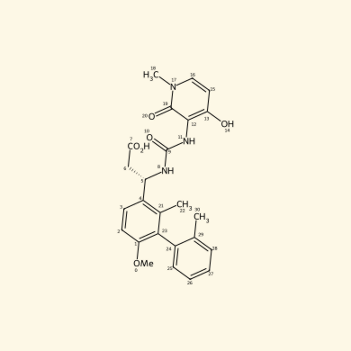 COc1ccc([C@H](CC(=O)O)NC(=O)Nc2c(O)ccn(C)c2=O)c(C)c1-c1ccccc1C